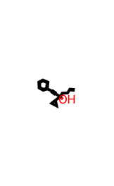 C=CCCC(O)(C#Cc1ccccc1)C1CC1